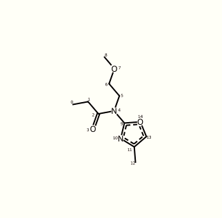 CCC(=O)N(CCOC)c1nc(C)co1